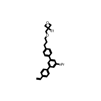 C=Cc1ccc(-c2cc(CCC)cc(-c3ccc(CCCOCC4(CC)COC4)cc3)c2)cc1